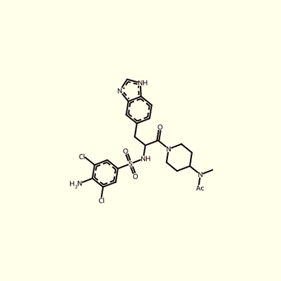 CC(=O)N(C)C1CCN(C(=O)C(Cc2ccc3[nH]cnc3c2)NS(=O)(=O)c2cc(Cl)c(N)c(Cl)c2)CC1